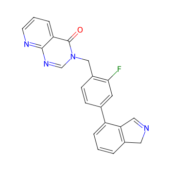 O=c1c2cccnc2ncn1Cc1ccc(-c2cccc3c2C=NC3)cc1F